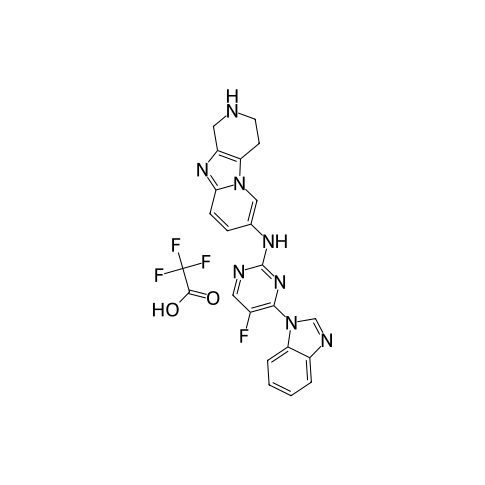 Fc1cnc(Nc2ccc3nc4c(n3c2)CCNC4)nc1-n1cnc2ccccc21.O=C(O)C(F)(F)F